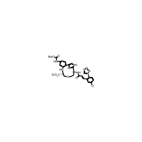 CCOC(=O)[C@H]1CCCC[C@H](NC(=O)/C=C/c2cc(Cl)ccc2-n2cnnn2)c2nc(c[nH]2)-c2ccc(NC(=O)OC)cc2N1